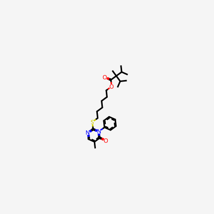 Cc1cnc(SCCCCCCOC(=O)C(C)(C(C)C)C(C)C)n(-c2ccccc2)c1=O